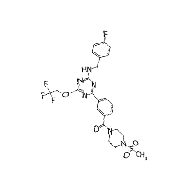 CS(=O)(=O)N1CCN(C(=O)c2cccc(-c3nc(NCc4ccc(F)cc4)nc(OCC(F)(F)F)n3)c2)CC1